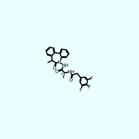 CC1C(=O)N(NC(=O)[C@H](C)NC(=O)Cc2cc(F)c(F)c(F)c2)c2ccccc2-c2ccccc21